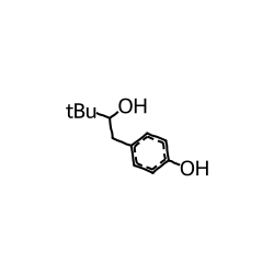 CC(C)(C)C(O)Cc1ccc(O)cc1